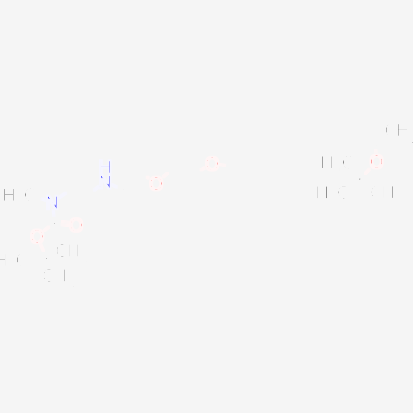 C=C(CCCCCCCCOCCOCCNCCN(C)C(=O)OC(C)(C)C)OC(C)(C)C